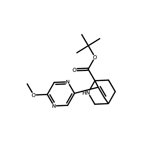 COc1cnc(C2=CC3CCC2(C(=O)OC(C)(C)C)NC3)cn1